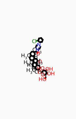 CC1(C)[C@@H](O[C@@H]2O[C@H](CO)[C@@H](O)[C@H](O)[C@H]2O)CC[C@]2(C)[C@H]3C(=O)C=C4[C@@H]5C[C@@](C)(C(=O)N6CCN(c7ccccc7Cl)CC6)CC[C@]5(C)CC[C@@]4(C)[C@]3(C)CC[C@@H]12